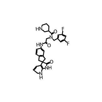 O=C(CN(Cc1cc(F)cc(F)c1)C(=O)C1CCCNC1)Nc1ccc2c(c1)CC1(C2)C(=O)NC2=C1C=CCN2